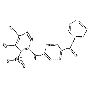 O=C(c1ccccc1)c1ccc(Nc2ncc(Cl)c(Cl)c2[N+](=O)[O-])cc1